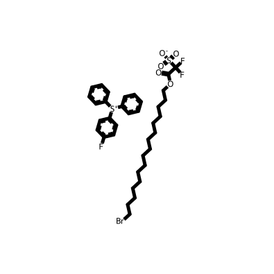 Fc1ccc([S+](c2ccccc2)c2ccccc2)cc1.O=C(OCCCCCCCCCCCCCCCCBr)C(F)(F)S(=O)(=O)[O-]